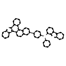 c1ccc(N(c2ccc(-c3ccc4c(ccc5c4c4ccccc4c4oc6ccccc6c54)c3)cc2)c2cccc3c2oc2ccccc23)cc1